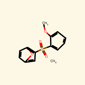 C.COc1ccccc1S(=O)(=O)c1cc2ccc1o2